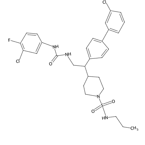 CCCNS(=O)(=O)N1CCC(C(CNC(=O)Nc2ccc(F)c(Cl)c2)c2ccc(-c3cccc(Cl)c3)cc2)CC1